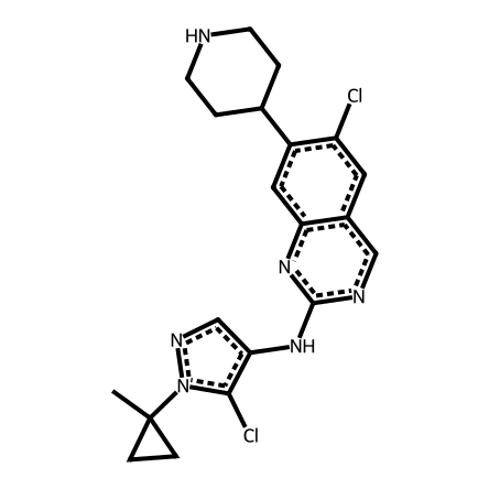 CC1(n2ncc(Nc3ncc4cc(Cl)c(C5CCNCC5)cc4n3)c2Cl)CC1